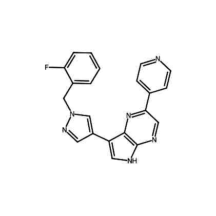 Fc1ccccc1Cn1cc(-c2c[nH]c3ncc(-c4ccncc4)nc23)cn1